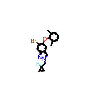 Cc1cccc(C)c1Oc1cc2cn(CC3(F)CC3)nc2cc1Br